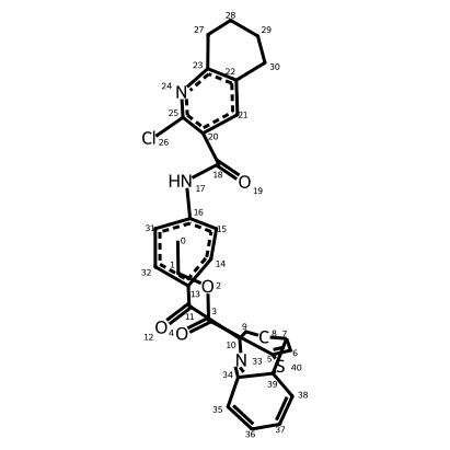 CCOC(=O)C1=CC2CCC(C(=O)c3ccc(NC(=O)c4cc5c(nc4Cl)CCCC5)cc3)N=C3C=CC=CC32S1